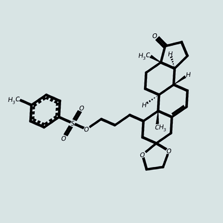 Cc1ccc(S(=O)(=O)OCCCC2CC3(CC4=CC[C@H]5[C@@H]6CCC(=O)[C@@]6(C)CC[C@@H]5[C@]42C)OCCO3)cc1